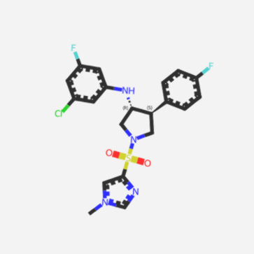 Cn1cnc(S(=O)(=O)N2C[C@H](Nc3cc(F)cc(Cl)c3)[C@@H](c3ccc(F)cc3)C2)c1